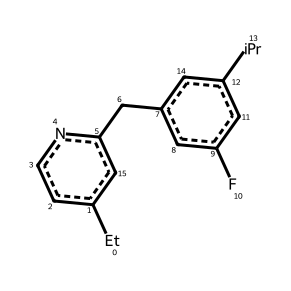 CCc1ccnc(Cc2cc(F)cc(C(C)C)c2)c1